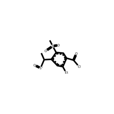 CCc1cc(C(C)[S+]=O)c(S(C)(=O)=O)cc1C(=O)Cl